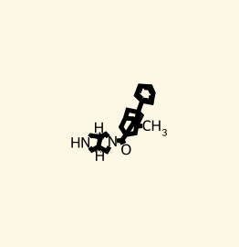 CC12CC3CC(C(=O)N4C[C@H]5CNC[C@H]5C4)(C1)CC(c1ccccc1)(C3)C2